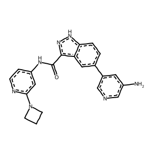 Nc1cncc(-c2ccc3[nH]nc(C(=O)Nc4ccnc(N5CCC5)c4)c3c2)c1